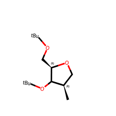 C[C@@H]1CO[C@H](COC(C)(C)C)C1OC(C)(C)C